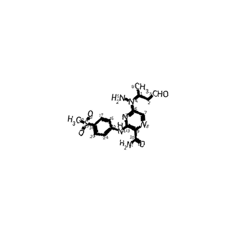 CC(CC=O)N(N)c1cnc(C(N)=O)c(Nc2ccc(S(C)(=O)=O)cc2)n1